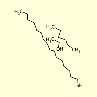 CCCCCCCCCCCCCCCCS.CCO.[CH2]CCCCC